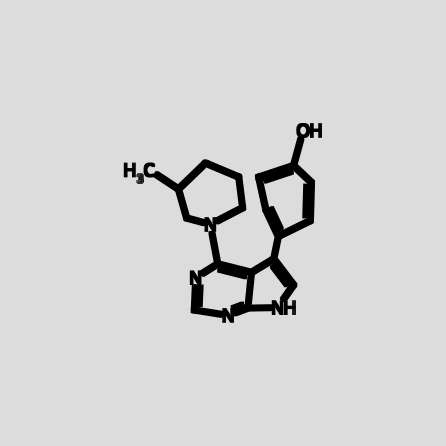 CC1CCCN(c2ncnc3[nH]cc(-c4ccc(O)cc4)c23)C1